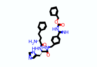 N=C(NC(=O)OCc1ccccc1)c1ccc(CNC(=O)[C@H](Cc2cnc[nH]2)NC(=O)[C@H](N)CCc2ccccc2)cc1